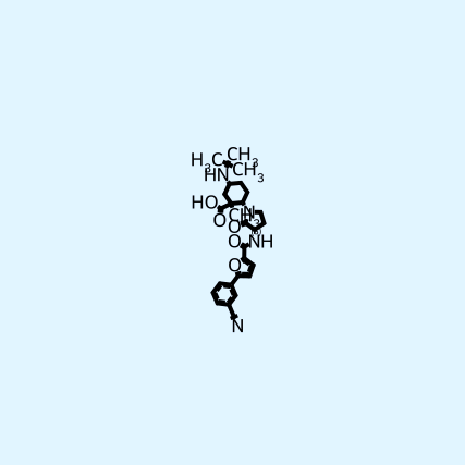 CC(C)(C)NC1CCC(N2CC[C@H](NC(=O)c3ccc(-c4cccc(C#N)c4)o3)C2=O)C(C)(C(=O)O)C1